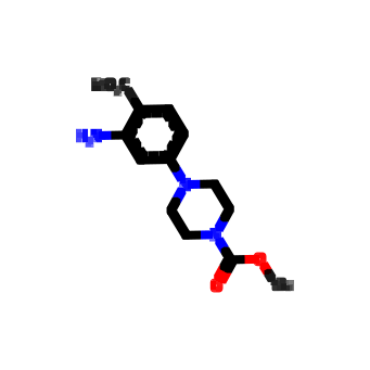 CCOC(=O)c1ccc(N2CCN(C(=O)OC(C)(C)C)CC2)cc1N